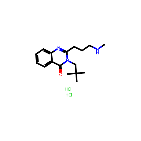 CNCCCc1nc2ccccc2c(=O)n1CC(C)(C)C.Cl.Cl